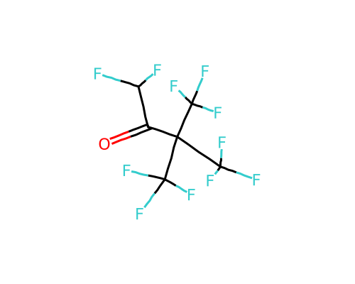 O=C(C(F)F)C(C(F)(F)F)(C(F)(F)F)C(F)(F)F